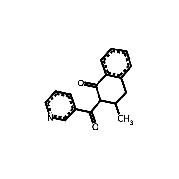 CC1Cc2ccccc2C(=O)C1C(=O)c1cccnc1